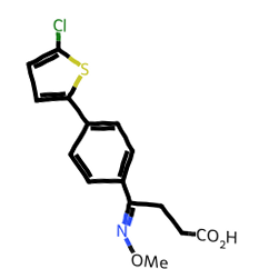 CO/N=C(\CCC(=O)O)c1ccc(-c2ccc(Cl)s2)cc1